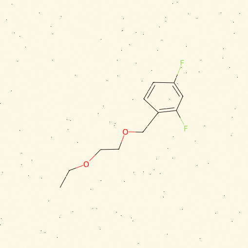 CCOCCOCc1ccc(F)cc1F